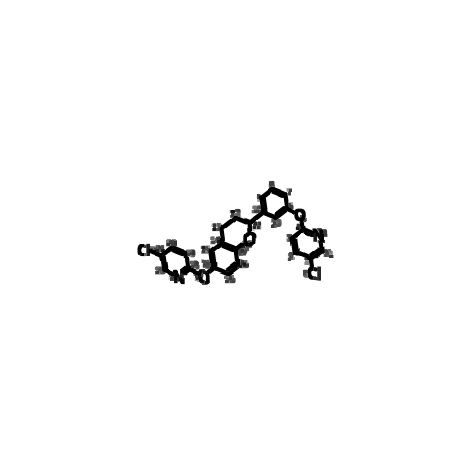 Clc1ccc(Oc2cccc(C3CCc4cc(Oc5ccc(Cl)cn5)ccc4O3)c2)nc1